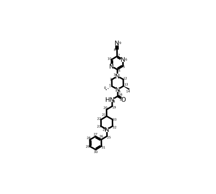 C[C@@H]1CN(c2cnc(C#N)cn2)C[C@@H](C)N1C(=O)NCCC1CCN(Cc2ccccc2)CC1